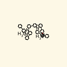 CN(c1ccccc1)c1ccc(-c2cccc3c4ccc(-c5cccc(N(c6cccc(-c7ccccc7)c6)c6cccc7c8ccccc8n(C)c67)c5)cc4n(-c4cccc(-c5ccccc5)c4)c23)cc1